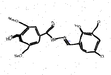 COc1cc(C(=O)N/N=C/c2cc(Cl)cc(Cl)c2O)cc(OC)c1O